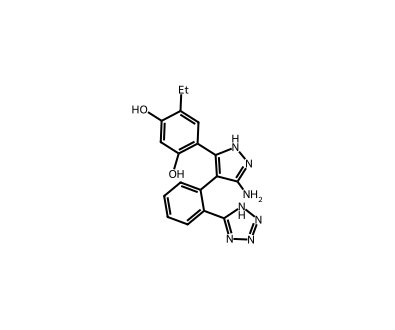 CCc1cc(-c2[nH]nc(N)c2-c2ccccc2-c2nnn[nH]2)c(O)cc1O